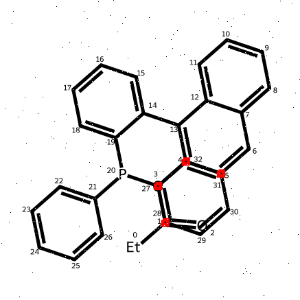 CCC(=O)Oc1ccc2ccccc2c1-c1ccccc1P(c1ccccc1)c1ccccc1